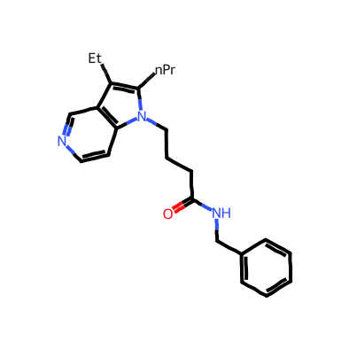 CCCc1c(CC)c2cnccc2n1CCCC(=O)NCc1ccccc1